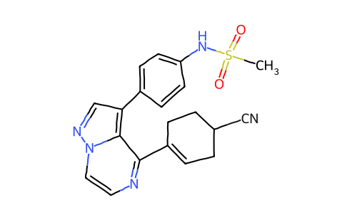 CS(=O)(=O)Nc1ccc(-c2cnn3ccnc(C4=CCC(C#N)CC4)c23)cc1